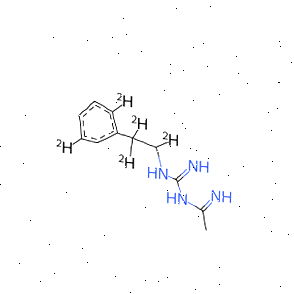 [2H]c1ccc([2H])c(C([2H])([2H])C([2H])NC(=N)NC(C)=N)c1